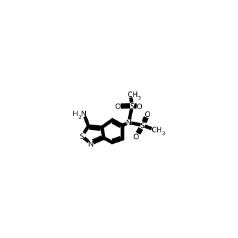 CS(=O)(=O)N(c1ccc2nsc(N)c2c1)S(C)(=O)=O